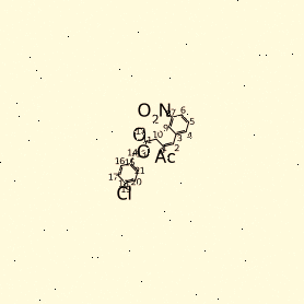 CC(=O)C(=Cc1cccc([N+](=O)[O-])c1)CC(=O)OCc1ccc(Cl)cc1